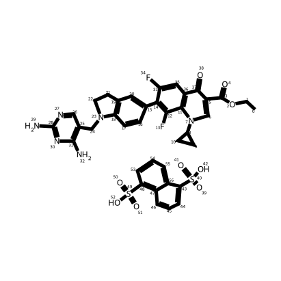 CCOC(=O)c1cn(C2CC2)c2c(F)c(-c3ccc4c(c3)CCN4Cc3cnc(N)nc3N)c(F)cc2c1=O.O=S(=O)(O)c1cccc2c(S(=O)(=O)O)cccc12